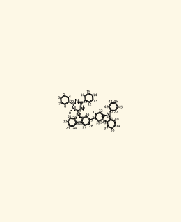 CN1C(c2ccccc2)=NC(c2ccccc2)=NC1n1c2ccccc2c2ccc(-c3ccc4c(c3)c3ccccc3n4-c3ccccc3)cc21